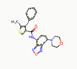 Cc1scc(C(=O)Nc2ccc(N3CCOCC3)c3nonc23)c1-c1ccccc1